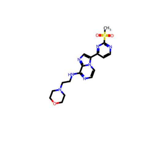 CS(=O)(=O)c1nccc(-c2cnc3c(NCCN4CCOCC4)nccn23)n1